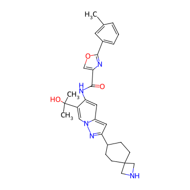 Cc1cccc(-c2nc(C(=O)Nc3cc4cc(C5CCC6(CC5)CNC6)nn4cc3C(C)(C)O)co2)c1